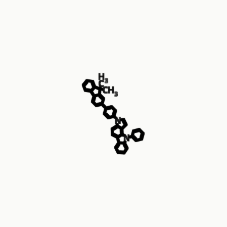 CC1(C)c2ccccc2-c2ccc(-c3ccc(-n4ccc5c4ccc4c6ccccc6n(-c6ccccc6)c45)cc3)cc21